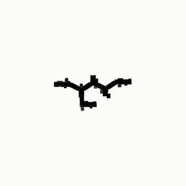 CCCCCCC[SiH2][SiH2][SiH](CCCCCCC)CCCCCCC